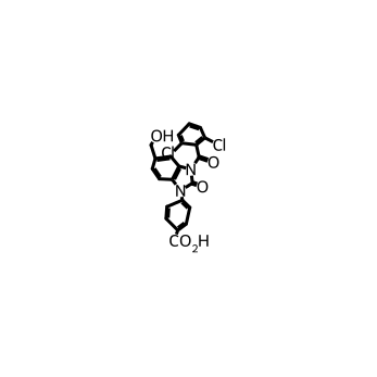 O=C(O)c1ccc(-n2c(=O)n(C(=O)c3c(Cl)cccc3Cl)c3cc(CO)ccc32)cc1